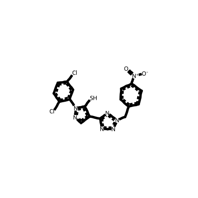 O=[N+]([O-])c1ccc(Cn2nnc(-c3cnn(-c4cc(Cl)ccc4Cl)c3S)n2)cc1